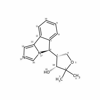 CC1(C)OC[C@@H]([C@@H]2c3ccccc3-c3cncn32)[C@H]1O